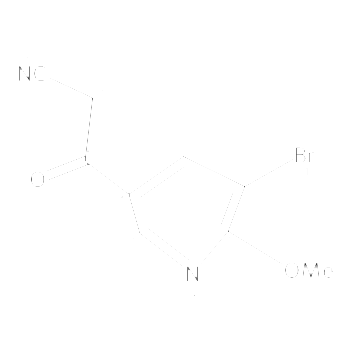 COc1ncc(C(=O)CC#N)cc1Br